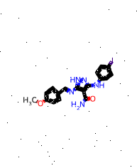 COc1ccc(/C=N/c2[nH]nc(Nc3ccc(I)cc3)c2C(N)=O)cc1